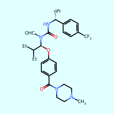 CCC[C@@H](NC(=O)N(C=O)[C@@H](Oc1ccc(C(=O)N2CCN(C)CC2)cc1)C(CC)CC)c1ccc(C(F)(F)F)cc1